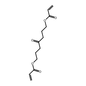 C=CC(=O)OCCCC(=O)CCCOC(=O)C=C